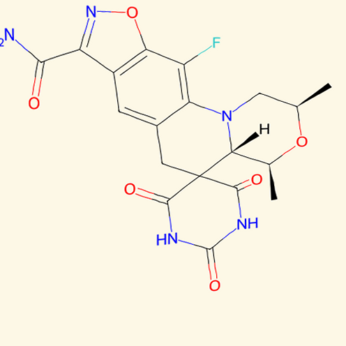 C[C@@H]1CN2c3c(cc4c(C(N)=O)noc4c3F)CC3(C(=O)NC(=O)NC3=O)[C@H]2[C@H](C)O1